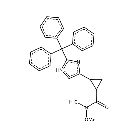 CON(C)C(=O)C1CC1c1c[nH]c(C(c2ccccc2)(c2ccccc2)c2ccccc2)n1